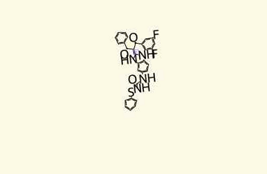 O=C(NSc1ccccc1)Nc1ccc2c(c1)N/C(=C(\C(=O)c1ccccc1)C(=O)c1cc(F)cc(F)c1)N2